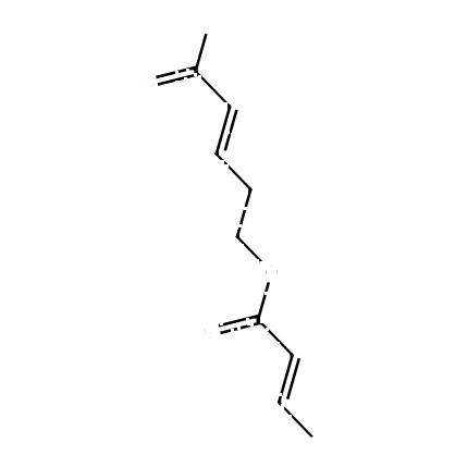 CC=CC(=O)OCC/C=C/C([O])=O